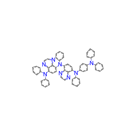 c1ccc(N(c2ccccc2)c2ccc(N(c3ccccc3)c3ccc(N(c4ccccc4)c4ccc(N(c5ccccc5)c5ccccc5)c5nccnc45)c4nccnc34)cc2)cc1